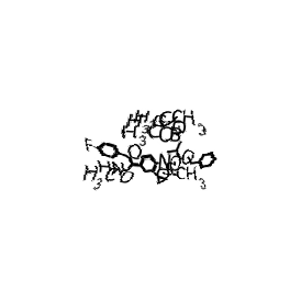 CCS(=O)(=O)N(CC(COCc1ccccc1)CB1OC(C)(C)C(C)(C)O1)c1cc2oc(-c3ccc(F)cc3)c(C(=O)NC)c2cc1C1CC1